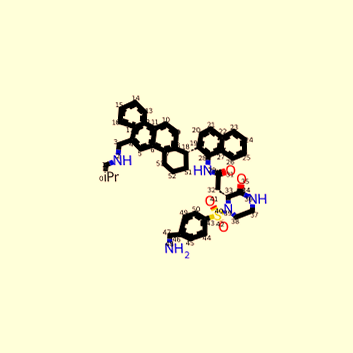 CC(C)CNCc1cc2c3c(ccc2c2ccccc12)[C@H](c1ccc2ccccc2c1NC(=O)C[C@@H]1C(=O)NCCN1S(=O)(=O)c1ccc(CN)cc1)CCC3